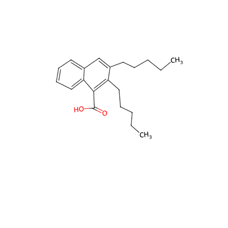 CCCCCc1cc2ccccc2c(C(=O)O)c1CCCCC